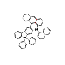 c1ccc(N(c2cc3c(cc2-c2cccc4c2CCCC4)-c2ccccc2C3(c2ccccc2)c2ccccc2)c2cccc3ccccc23)cc1